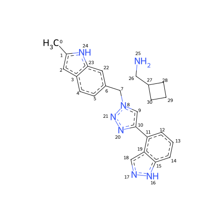 Cc1cc2ccc(Cn3cc(-c4cccc5[nH]ncc45)nn3)cc2[nH]1.NCC1CCC1